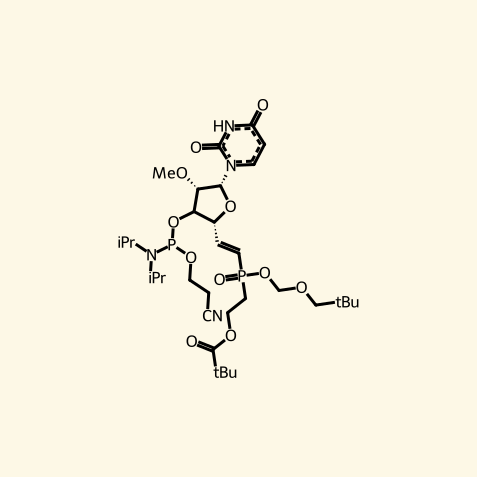 CO[C@H]1C(OP(OCCC#N)N(C(C)C)C(C)C)[C@@H](/C=C/P(=O)(CCOC(=O)C(C)(C)C)OCOCC(C)(C)C)O[C@H]1n1ccc(=O)[nH]c1=O